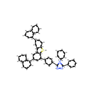 c1ccc(-c2nnc(-c3ccc(-c4cc(-c5cccc6ccccc56)cc5c4sc4ccc(-c6cccc7ccccc67)cc45)cc3)n2-c2ccccc2)cc1